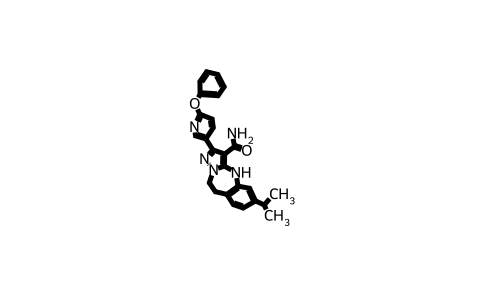 CC(C)c1ccc2c(c1)Nc1c(C(N)=O)c(-c3ccc(Oc4ccccc4)nc3)nn1CC2